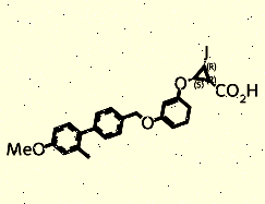 COc1ccc(-c2ccc(COC3=CCCC(O[C@@H]4[C@H](I)[C@H]4C(=O)O)=C3)cc2)c(C)c1